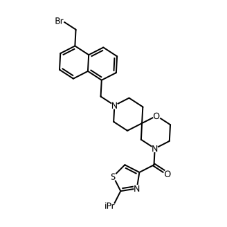 CC(C)c1nc(C(=O)N2CCOC3(CCN(Cc4cccc5c(CBr)cccc45)CC3)C2)cs1